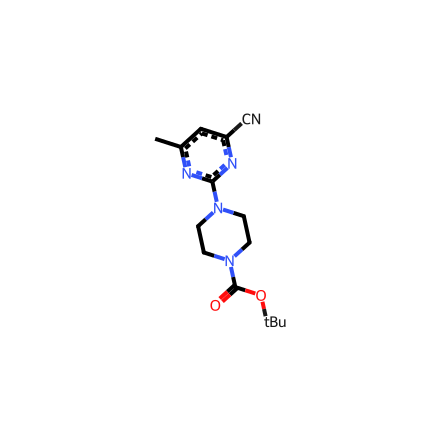 Cc1cc(C#N)nc(N2CCN(C(=O)OC(C)(C)C)CC2)n1